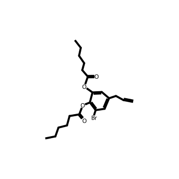 C=CCc1cc(Br)c(OC(=O)CCCCC)c(OC(=O)CCCCC)c1